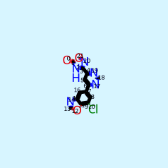 O=c1[nH]c(-c2cc(-c3cc(Cl)c4ocnc4c3)ncn2)no1